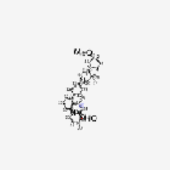 COc1cccc(N2CCN(c3ccc(-c4cccc(-c5ccc(C)cc5)c4/C(C)=C\NC=O)cc3)CC2(C)C)c1